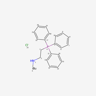 CCC(C)NCC[P+](c1ccccc1)(c1ccccc1)c1ccccc1.[Cl-]